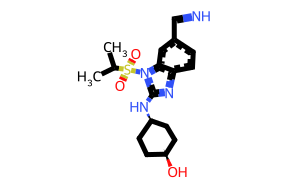 CC(C)S(=O)(=O)n1c(N[C@H]2CC[C@H](O)CC2)nc2ccc(C=N)cc21